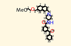 COCCOCc1ccc2ccc(CN3CCC(NC(=O)c4cccc(C(=O)c5ccccc5)c4)CC3)cc2c1